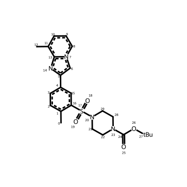 Cc1ccc(-c2cn3cccc(C)c3n2)cc1S(=O)(=O)N1CCN(C(=O)OC(C)(C)C)CC1